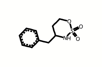 O=S1(=O)NC(Cc2ccccc2)CCO1